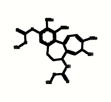 COc1c(OC(=O)OC(C)(C)C)cc2c(c1OC)C1=CC=C(SC)C(O)C=C1C(NC(=O)OC(C)(C)C)CC2